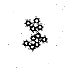 c1ccc(-n2c3ccc#cc3c3ccccc32)c(-c2ccccc2-n2c3c(c4ccccc42)C=C(n2c4ccccc4c4c2ccc2c5ccccc5n(-c5ccccc5)c24)CC3)c#1